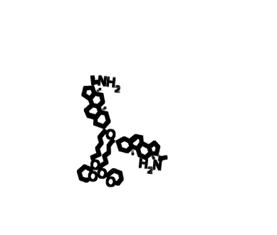 CC(N)[C@H]1CCC2C3CC=C4C[C@@H](C(CCCCCOC5CCCCO5)OC(CCCCCOC5CCCCO5)[C@H]5CC[C@@]6(C)C(=CCC7C6CC[C@@]6(C)C7CC[C@@H]6C(C)N)C5)CC[C@]4(C)C3CC[C@@]21C